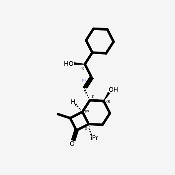 CC1C(=O)[C@]2(C(C)C)CC[C@H](O)[C@@H](/C=C/[C@@H](O)C3CCCCC3)[C@H]12